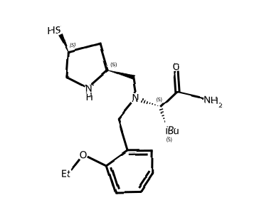 CCOc1ccccc1CN(C[C@@H]1C[C@H](S)CN1)[C@H](C(N)=O)[C@@H](C)CC